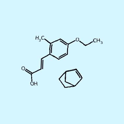 C1=CC2CCC1C2.CCOc1ccc(C=CC(=O)O)c(C)c1